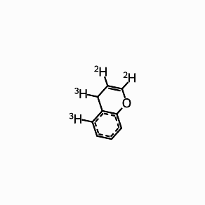 [2H]C1=C([2H])C([3H])c2c([3H])cccc2O1